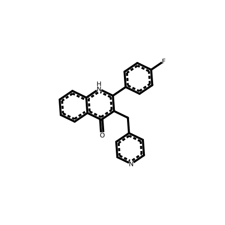 O=c1c(Cc2ccncc2)c(-c2ccc(F)cc2)[nH]c2ccccc12